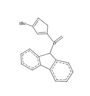 [CH2]=[Zr]([C]1=CC(C(C)(C)C)=CC1)[CH]1c2ccccc2-c2ccccc21